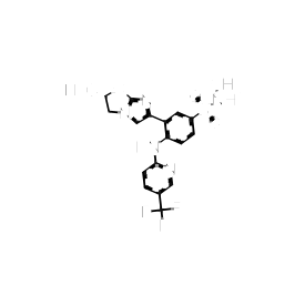 CNS(=O)(=O)c1ccc(Nc2ccc(C(F)(F)F)cn2)c(-c2cn3c(n2)O[C@@H](C)C3)c1